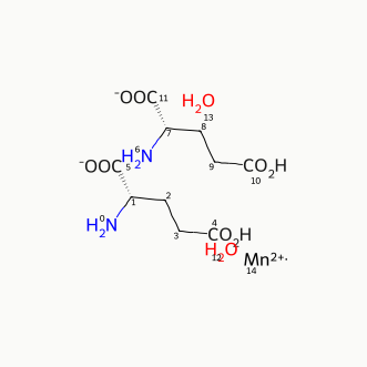 N[C@@H](CCC(=O)O)C(=O)[O-].N[C@@H](CCC(=O)O)C(=O)[O-].O.O.[Mn+2]